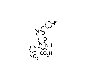 CC1=C(C(=O)O)C(c2cccc([N+](=O)[O-])c2)N(CCCN(C)C(=O)Cc2ccc(F)cc2)C(=O)N1